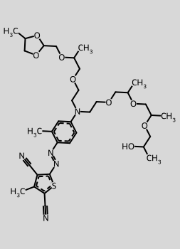 Cc1cc(N(CCOCC(C)OCC(C)OCC(C)O)CCOCC(C)OCC2OCC(C)O2)ccc1/N=N/c1sc(C#N)c(C)c1C#N